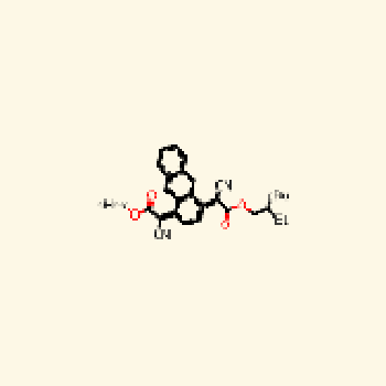 CCCCCCOC(=O)/C(C#N)=c1/cc/c(=C(/C#N)C(=O)OCC(CC)CCCC)c2cc3ccccc3cc12